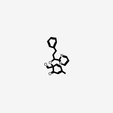 CC1=CC(=O)C(C=O)(OC(CCc2ccccc2)c2ncccn2)C=C1